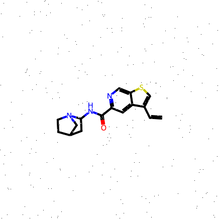 C=Cc1csc2cnc(C(=O)NC3CC4CCN3C4)cc12